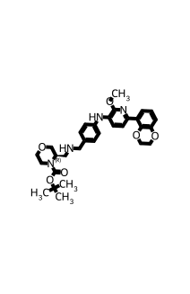 COc1nc(-c2cccc3c2OCCO3)ccc1Nc1ccc(CNC[C@@H]2COCCN2C(=O)OC(C)(C)C)cc1